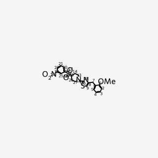 COc1ccccc1Cc1csc(N2CCC(S(=O)(=O)c3cccc([N+](=O)[O-])c3)CC2)n1